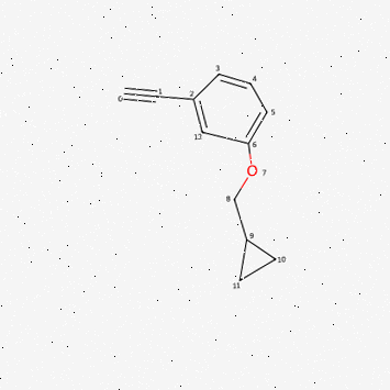 C#Cc1cccc(OCC2CC2)c1